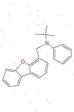 CC(C)(C)N(Cc1cccc2c1oc1ccccc12)c1ccccc1